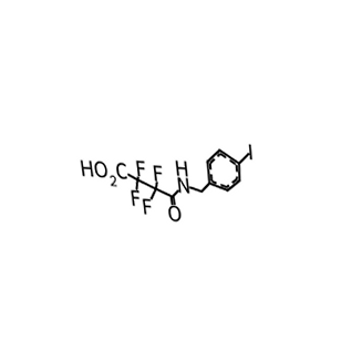 O=C(O)C(F)(F)C(F)(F)C(=O)NCc1ccc(I)cc1